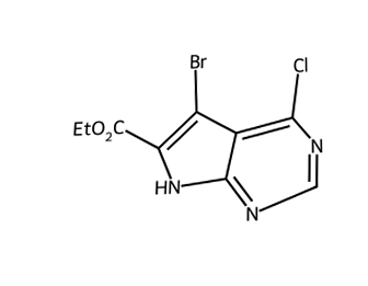 CCOC(=O)c1[nH]c2ncnc(Cl)c2c1Br